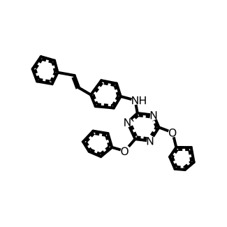 C(=Cc1ccc(Nc2nc(Oc3ccccc3)nc(Oc3ccccc3)n2)cc1)c1ccccc1